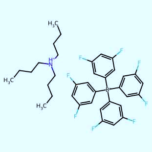 CCCC[NH+](CCCC)CCCC.Fc1cc(F)cc([B-](c2cc(F)cc(F)c2)(c2cc(F)cc(F)c2)c2cc(F)cc(F)c2)c1